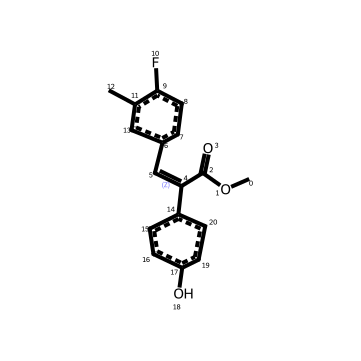 COC(=O)/C(=C\c1ccc(F)c(C)c1)c1ccc(O)cc1